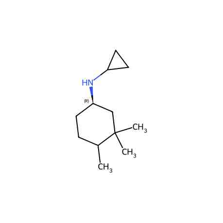 CC1CC[C@@H](NC2CC2)CC1(C)C